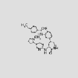 CCc1ccc(C(=O)Nc2cc(C3C=NNC(=O)C(Nc4ccc(C5CCCN5C)cn4)=C3)ccc2F)cc1